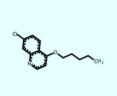 [CH2]CCCCOc1ccnc2cc(Cl)ccc12